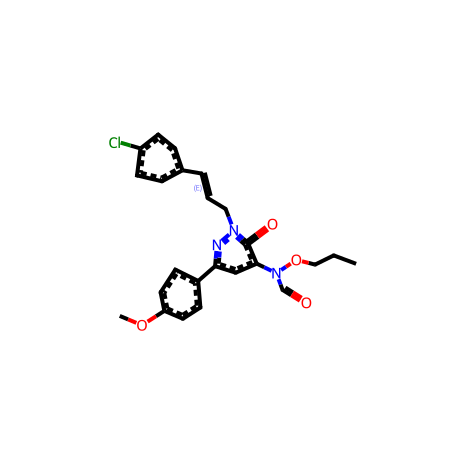 CCCON(C=O)c1cc(-c2ccc(OC)cc2)nn(C/C=C/c2ccc(Cl)cc2)c1=O